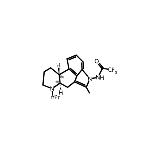 CCCN1CCC[C@@H]2c3cccc4c3c(c(C)n4NC(=O)C(F)(F)F)C[C@H]21